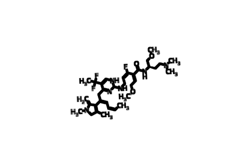 C=C1C(/C(=C\C=C/C)CC2=NC(NC/C=C(F)\C(=C/COC)C(=O)N[C@H](CCN(C)C)COC)NC=C2C(C)(F)F)=C(C)CN1C